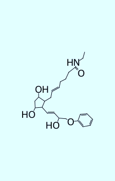 CCNC(=O)CCC/C=C/CC1C(O)CC(O)C1/C=C/C(O)COc1ccccc1